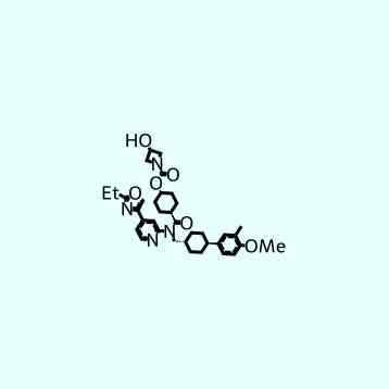 CCc1nc(-c2ccnc(N(C[C@H]3CC[C@H](c4ccc(OC)c(C)c4)CC3)C(=O)[C@H]3CC[C@H](OC(=O)N4CC(O)C4)CC3)c2)co1